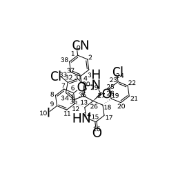 N#Cc1ccc(Oc2ccc(I)cc2[C@H]2NC(=O)C[C@@H](C3C=CC=C(Cl)C3)[C@]23C(=O)Nc2cc(Cl)ccc23)cc1